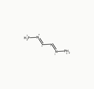 PN=CC=NP